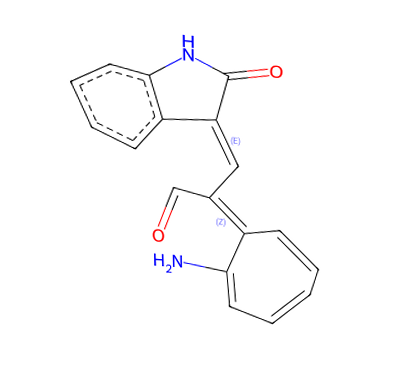 NC1=CC=CC=C/C1=C(C=O)\C=C1\C(=O)Nc2ccccc21